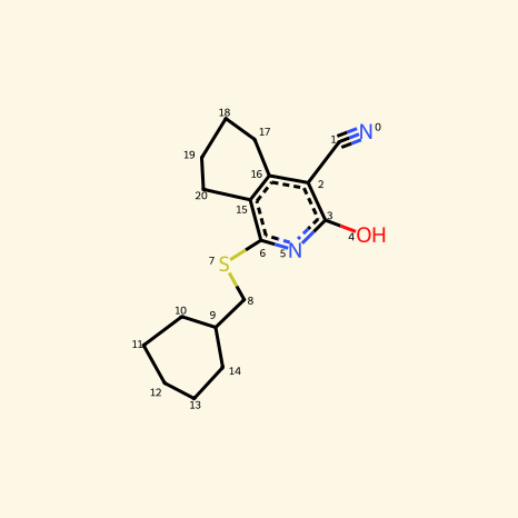 N#Cc1c(O)nc(SCC2CCCCC2)c2c1CCCC2